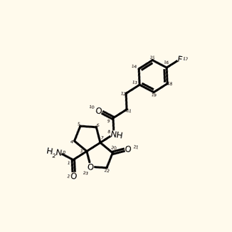 NC(=O)C12CCCC1(NC(=O)[CH]Cc1ccc(F)cc1)C(=O)CO2